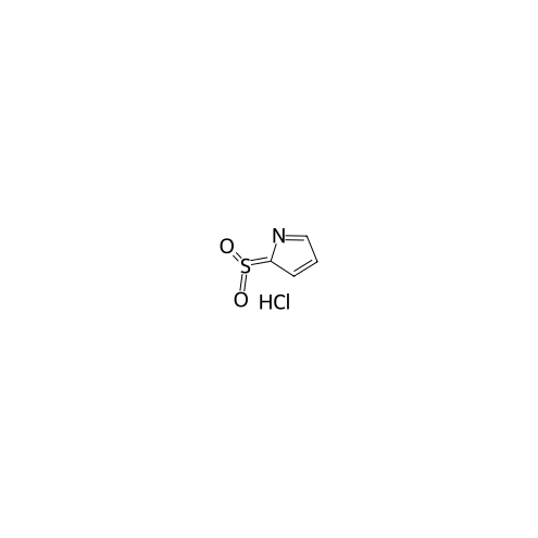 Cl.O=S(=O)=C1C=CC=N1